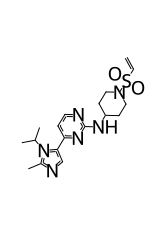 C=CS(=O)(=O)N1CCC(Nc2nccc(-c3cnc(C)n3C(C)C)n2)CC1